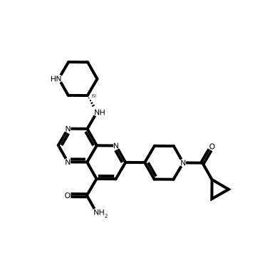 NC(=O)c1cc(C2=CCN(C(=O)C3CC3)CC2)nc2c(N[C@H]3CCCNC3)ncnc12